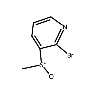 C[S+]([O-])c1cccnc1Br